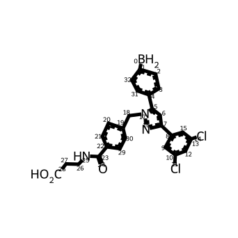 Bc1ccc(-c2cc(-c3cc(Cl)cc(Cl)c3)nn2Cc2ccc(C(=O)NCCC(=O)O)cc2)cc1